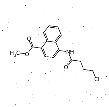 COC(=O)c1ccc(NC(=O)CCCCl)c2ccccc12